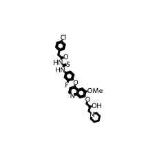 COc1cc2c(Oc3ccc(NC(=S)NC(=O)Cc4ccc(Cl)cc4)cc3F)ccnc2cc1OCC(O)CN1CCCCC1